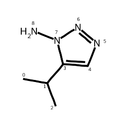 CC(C)c1cnnn1N